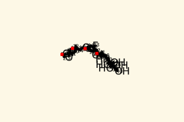 CC(C)OC(=O)N1CCC2(CC1)CC2CCCOc1ccc(CC(=O)N2CC(CNCC(O)C(O)C(O)[C@H](O)CO)C2)c(F)c1